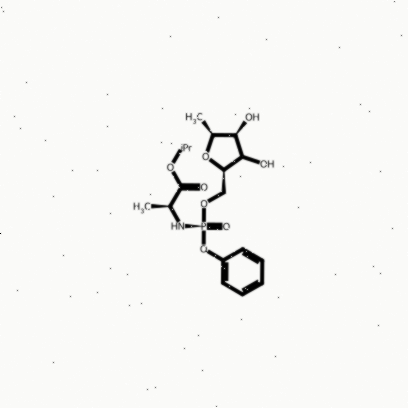 CC(C)OC(=O)[C@H](C)N[P@](=O)(OC[C@H]1O[C@@H](C)[C@@H](O)C1O)Oc1ccccc1